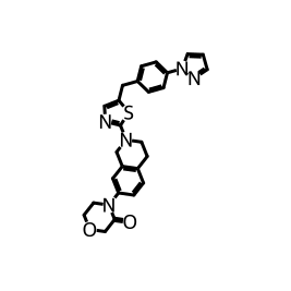 O=C1COCCN1c1ccc2c(c1)CN(c1ncc(Cc3ccc(-n4cccn4)cc3)s1)CC2